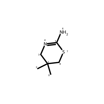 CC1(C)CN=C(N)SC1